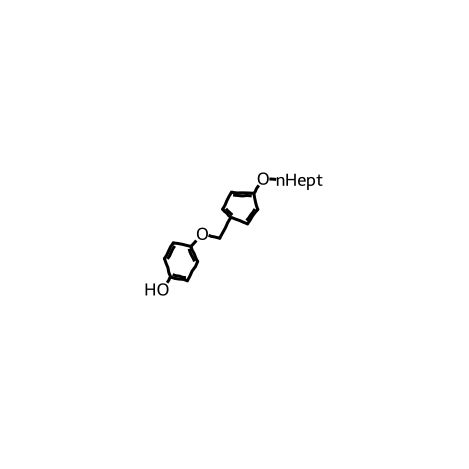 CCCCCCCOc1ccc(COc2ccc(O)cc2)cc1